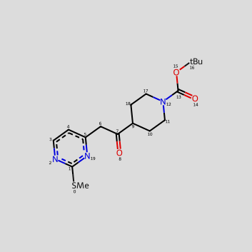 CSc1nccc(CC(=O)C2CCN(C(=O)OC(C)(C)C)CC2)n1